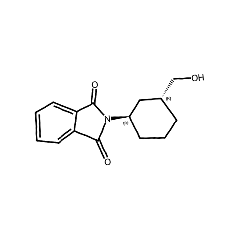 O=C1c2ccccc2C(=O)N1[C@@H]1CCC[C@@H](CO)C1